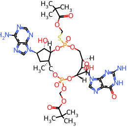 CC(C)(C)C(=O)OCOP1(=O)OC[C@@]2(C)C[C@@H](n3cnc4c(N)ncnc43)[C@H](O)[C@@H]2OP(=O)(SCOC(=O)C(C)(C)C)OC[C@H]2O[C@@H](n3cnc4c(=O)[nH]c(N)nc43)[C@H](O1)[C@@H]2O